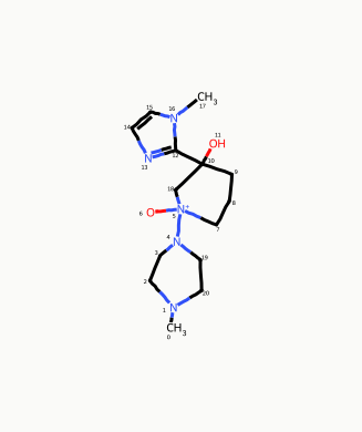 CN1CCN([N+]2([O-])CCCC(O)(c3nccn3C)C2)CC1